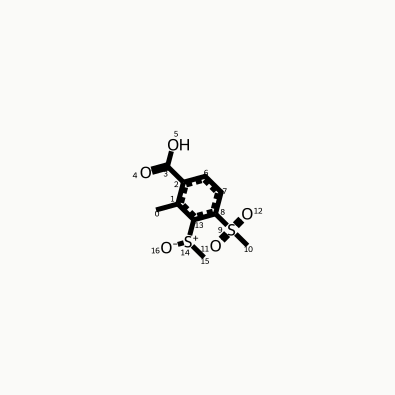 Cc1c(C(=O)O)ccc(S(C)(=O)=O)c1[S+](C)[O-]